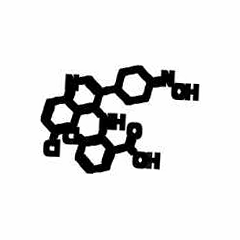 O=C(O)c1cccc(Cl)c1Nc1c(C2CCC(=NO)CC2)cnc2ccc(Cl)cc12